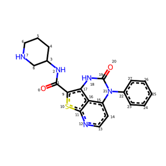 O=C(NC1CCCNC1)c1sc2nccc3c2c1NC(=O)N3c1ccccc1